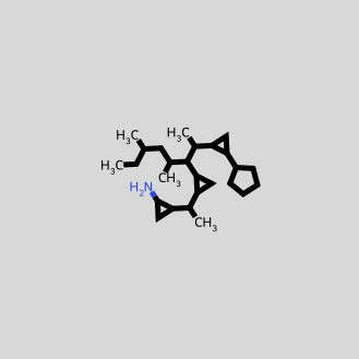 CCC(C)CC(C)C(C(C)C1CC1C1CCCC1)C1CC1C(C)C1CC1N